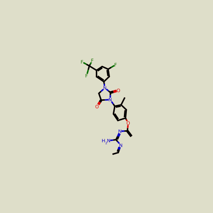 C=C(/N=C(N)\N=C/C)Oc1ccc(N2C(=O)CN(c3cc(F)cc(C(F)(F)F)c3)C2=O)c(C)c1